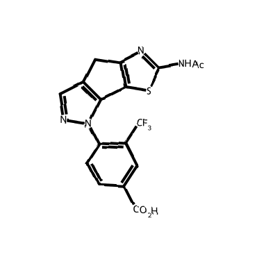 CC(=O)Nc1nc2c(s1)-c1c(cnn1-c1ccc(C(=O)O)cc1C(F)(F)F)C2